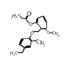 CCC(=O)Oc1cccc(OC)c1COc1ccc(CC)cc1C